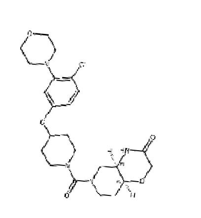 O=C1CO[C@H]2CCN(C(=O)N3CCC(Oc4ccc(Cl)c(N5CCOCC5)c4)CC3)C[C@H]2N1